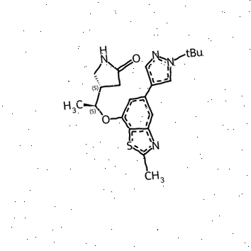 Cc1nc2cc(-c3cnn(C(C)(C)C)c3)cc(O[C@@H](C)[C@@H]3CNC(=O)C3)c2s1